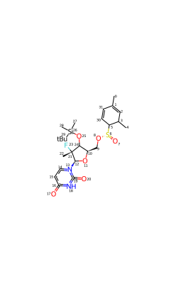 CC1=CC(C)C([S@](=O)OC[C@H]2O[C@@H](n3ccc(=O)[nH]c3=O)[C@](C)(F)C2O[Si](C)(C)C(C)(C)C)C=C1